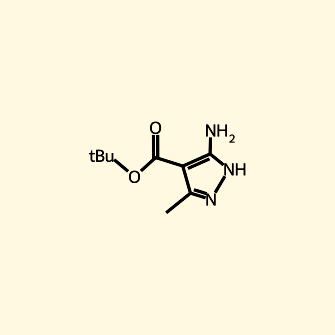 Cc1n[nH]c(N)c1C(=O)OC(C)(C)C